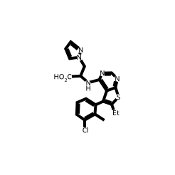 CCc1sc2ncnc(NC(Cn3cccn3)C(=O)O)c2c1-c1cccc(Cl)c1C